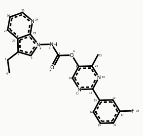 CCc1cn(NC(=O)Oc2cnc(-c3cccc(F)c3)nc2C)c2ncccc12